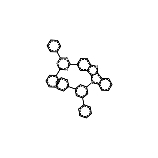 c1ccc(-c2cc(-c3ccccc3)cc(-n3c4ccccc4c4sc5ccc(-c6nc(-c7ccccc7)nc(-c7ccccc7)n6)cc5c43)c2)cc1